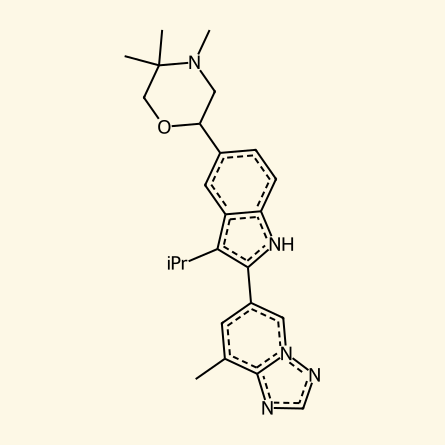 Cc1cc(-c2[nH]c3ccc(C4CN(C)C(C)(C)CO4)cc3c2C(C)C)cn2ncnc12